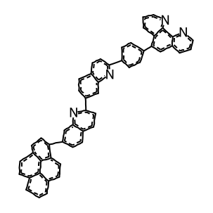 c1cnc2c(c1)cc(-c1ccc(-c3ccc4ccc(-c5ccc6ccc(-c7ccc8ccc9cccc%10ccc7c8c9%10)cc6n5)cc4n3)cc1)c1cccnc12